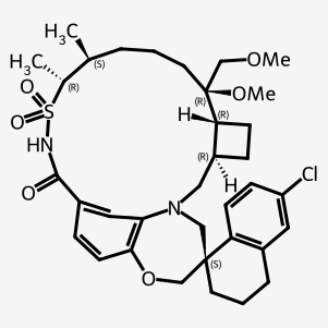 COC[C@@]1(OC)CCC[C@H](C)[C@@H](C)S(=O)(=O)NC(=O)c2ccc3c(c2)N(C[C@@H]2CC[C@H]21)C[C@@]1(CCCc2cc(Cl)ccc21)CO3